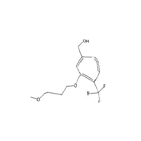 COCCCOc1cc(CO)ccc1C(F)(F)F